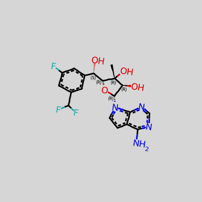 C[C@]1(O)[C@@H]([C@@H](O)c2cc(F)cc(C(F)F)c2)O[C@@H](n2ccc3c(N)ncnc32)[C@@H]1O